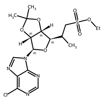 CCOS(=O)(=O)CC(C)[C@H]1O[C@@H](n2cnc3c(Cl)ncnc32)[C@@H]2OC(C)(C)O[C@@H]21